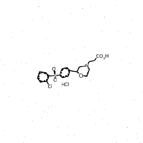 Cl.O=C(O)CCN1CCOC(c2ccc(S(=O)(=O)c3ccccc3Cl)cc2)C1